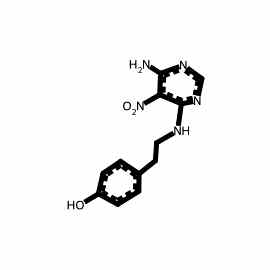 Nc1ncnc(NCCc2ccc(O)cc2)c1[N+](=O)[O-]